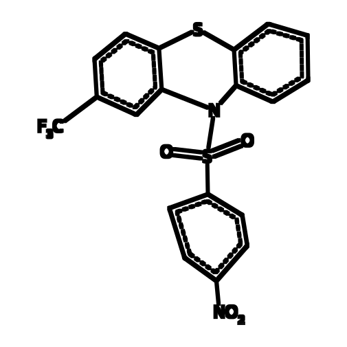 O=[N+]([O-])c1ccc(S(=O)(=O)N2c3ccccc3Sc3ccc(C(F)(F)F)cc32)cc1